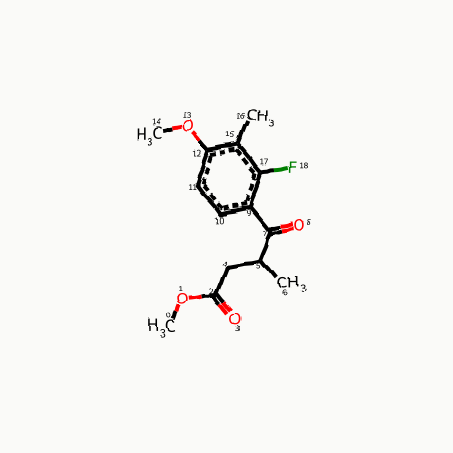 COC(=O)CC(C)C(=O)c1ccc(OC)c(C)c1F